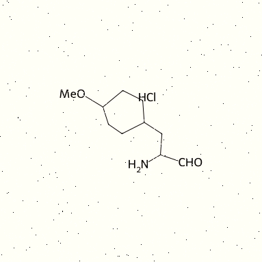 COC1CCC(CC(N)C=O)CC1.Cl